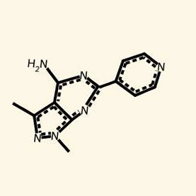 Cc1nn(C)c2nc(-c3ccncc3)nc(N)c12